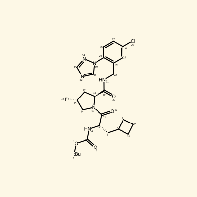 CC(C)(C)OC(=O)N[C@@H](CC1CCC1)C(=O)N1C[C@H](F)C[C@H]1C(=O)NCc1cc(Cl)ccc1-n1cncn1